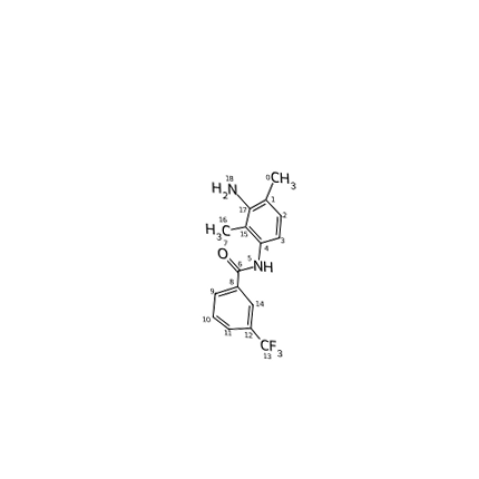 Cc1ccc(NC(=O)c2cccc(C(F)(F)F)c2)c(C)c1N